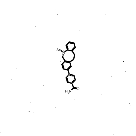 CC(=O)N1Cc2ccc(-c3ccc(C(N)=O)cc3)cc2CCc2ccccc21